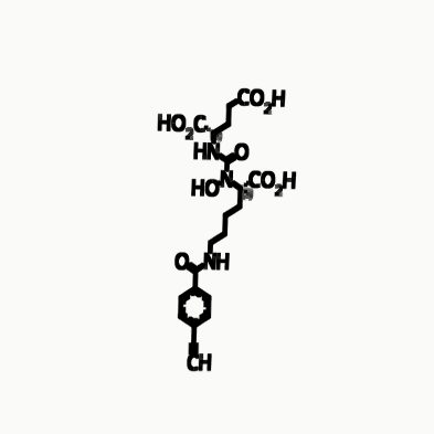 C#Cc1ccc(C(=O)NCCCC[C@@H](C(=O)O)N(O)C(=O)N[C@@H](CCC(=O)O)C(=O)O)cc1